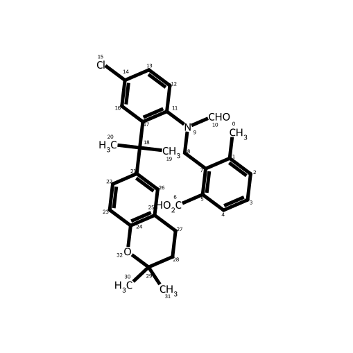 Cc1cccc(C(=O)O)c1CN(C=O)c1ccc(Cl)cc1C(C)(C)c1ccc2c(c1)CCC(C)(C)O2